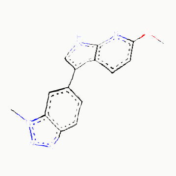 COc1ccc2c(-c3ccc4nnn(C)c4c3)c[nH]c2n1